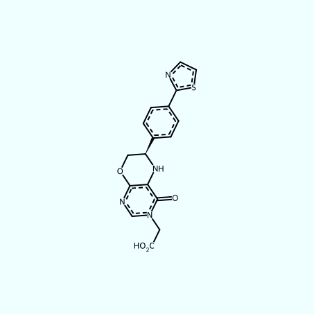 O=C(O)Cn1cnc2c(c1=O)N[C@H](c1ccc(-c3nccs3)cc1)CO2